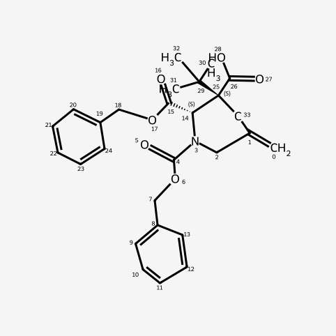 C=C1CN(C(=O)OCc2ccccc2)[C@H](C(=O)OCc2ccccc2)[C@@](C(=O)O)(C(C)(C)C)C1